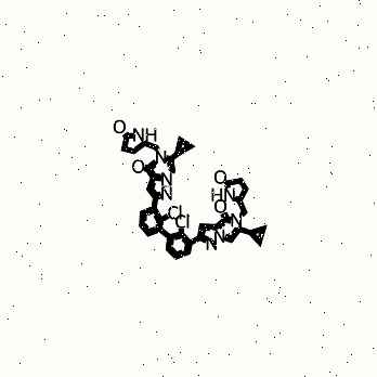 O=C1CCC(Cn2c(C3CC3)cn3nc(-c4cccc(-c5cccc(-c6cc7c(=O)n(CC8CCC(=O)N8)c(C8CC8)cn7n6)c5Cl)c4Cl)cc3c2=O)N1